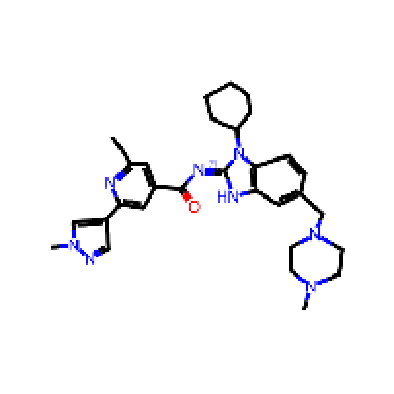 Cc1cc(C(=O)/N=c2\[nH]c3cc(CN4CCN(C)CC4)ccc3n2C2CCCCC2)cc(-c2cnn(C)c2)n1